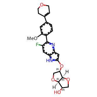 COc1cc(C2=CCOCC2)ccc1-c1nc2cc(O[C@@H]3CO[C@H]4[C@@H]3OC[C@H]4O)[nH]c2cc1F